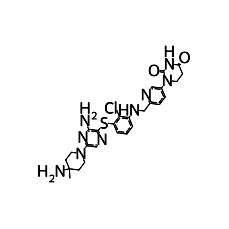 CC1(N)CCN(c2cnc(Sc3cccc(NCc4ccc(N5CCC(=O)NC5=O)cn4)c3Cl)c(N)n2)CC1